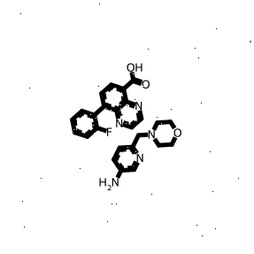 Nc1ccc(CN2CCOCC2)nc1.O=C(O)c1ccc(-c2ccccc2F)c2nccnc12